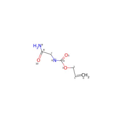 C=CCOC(=O)[N]CC(N)=O